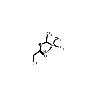 C[N+](C)(C)C(NC(=O)CS)C(F)(F)F